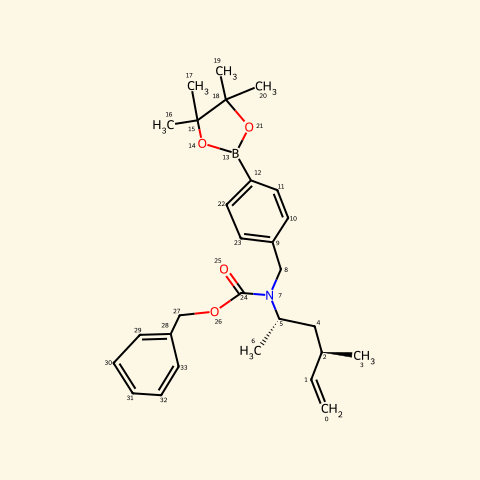 C=C[C@H](C)C[C@H](C)N(Cc1ccc(B2OC(C)(C)C(C)(C)O2)cc1)C(=O)OCc1ccccc1